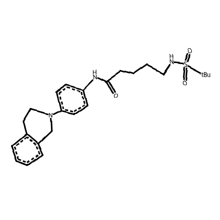 CC(C)(C)S(=O)(=O)NCCCCC(=O)Nc1ccc(N2CCc3ccccc3C2)cc1